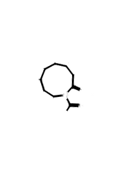 C=C1CCCCCCCN1C(C)=N